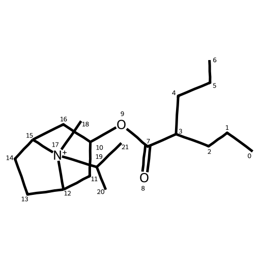 CCCC(CCC)C(=O)OC1CC2CCC(C1)[N+]2(C)C(C)C